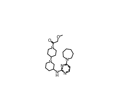 COCC(=O)N1CCC(N2CCCC(Nc3nccc(N4CCCCCC4)n3)C2)CC1